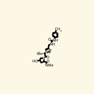 CNC(=O)C1CC(O)CN1C(=O)[C@@H](n1cc(CNC(=O)Nc2ccc(C)cc2)nn1)C(C)(C)C